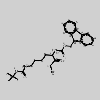 CC(C)(C)OC(=O)NCCCCC(NC(=O)OCC1c2ccccc2-c2ccccc21)C(=O)CBr